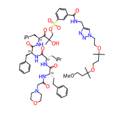 COCCC(C)(C)OCCC(C)(C)OCCn1cc(CNC(=O)c2cccc(S(=O)(=O)OCC(C)(O)C(=O)[C@H](CC(C)C)NC(=O)[C@H](Cc3ccccc3)NC(=O)[C@H](CC(C)C)NC(=O)[C@H](CCc3ccccc3)NC(=O)CN3CCOCC3)c2)nn1